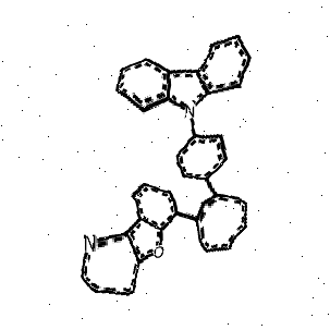 c1ccc(-c2cccc3c2oc2cccnc23)c(-c2ccc(-n3c4ccccc4c4ccccc43)cc2)c1